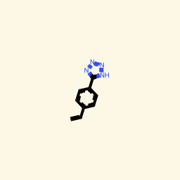 C=Cc1ccc(-c2nnn[nH]2)cc1